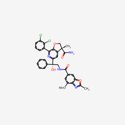 COc1cc(C(=O)NC[C@@](O)(c2ccccc2)c2cc3c(c(-c4cccc(Cl)c4Cl)n2)OC[C@]3(C)C(N)=O)cc2oc(C)nc12